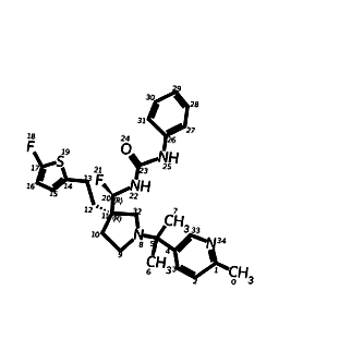 Cc1ccc(C(C)(C)N2CC[C@@](CCc3ccc(F)s3)([C@@H](F)NC(=O)Nc3ccccc3)C2)cn1